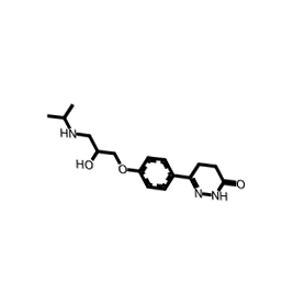 CC(C)NCC(O)COc1ccc(C2=NNC(=O)CC2)cc1